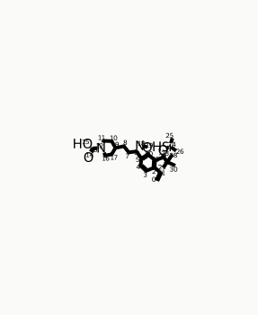 C=Cc1ccc2c(CCC3CCN(C(=O)O)CC3)noc2c1C(O[SiH](C)C)C(C)(C)C